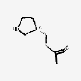 CC(=O)NC[C@H]1CCNC1